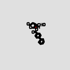 O=C[C@@H]1C2CC(=O)OC([C@@H]2O)[C@H]1OC(=O)c1ccc(-c2ccccc2)cc1